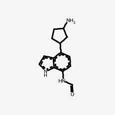 NC1CCC(c2ccc(NC=O)c3[nH]ccc23)C1